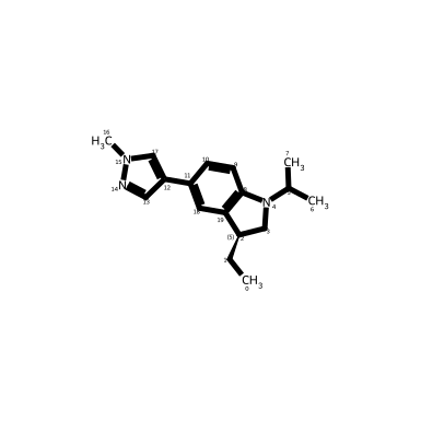 CC[C@@H]1CN(C(C)C)c2ccc(-c3cnn(C)c3)cc21